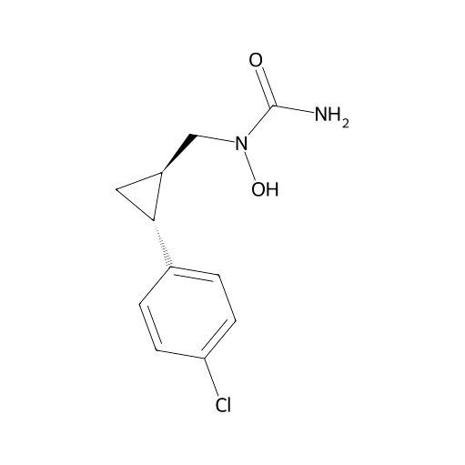 NC(=O)N(O)C[C@@H]1C[C@H]1c1ccc(Cl)cc1